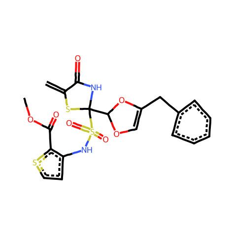 C=C1SC(C2OC=C(Cc3ccccc3)O2)(S(=O)(=O)Nc2ccsc2C(=O)OC)NC1=O